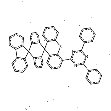 c1ccc(-c2nc(-c3ccccc3)nc(-c3cccc4c3Sc3ccccc3C43c4ccccc4C4(c5ccccc5-c5ccccc54)c4ccccc43)n2)cc1